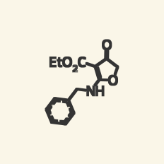 CCOC(=O)C1=C(NCc2ccccc2)OCC1=O